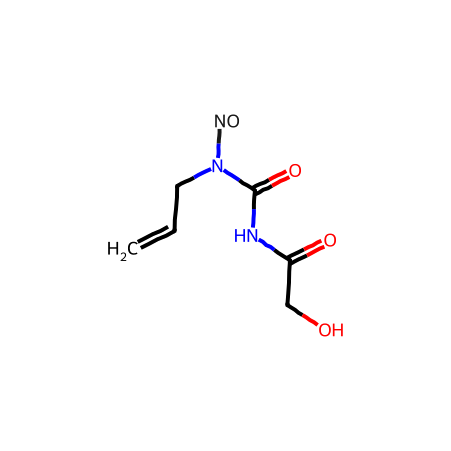 C=CCN(N=O)C(=O)NC(=O)CO